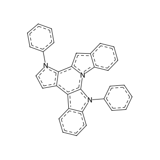 c1ccc(-n2ccc3c4c5ccccc5n(-c5ccccc5)c4n4c5ccccc5cc4c32)cc1